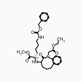 CCOC(=O)CN1C(=O)C(N[C@@H](CCCCNC(=O)OCc2ccccc2)C(=O)OC)CCCc2ccccc21